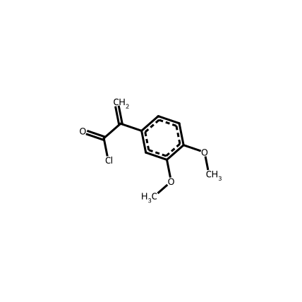 C=C(C(=O)Cl)c1ccc(OC)c(OC)c1